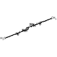 CCCCCCCCCCCCCCOC(=O)CCSCCCC(=N)NCCNCCN1CCN(CCNC(=N)CCCSCCC(=O)OCCCCCCCCCCCCCC)CC1